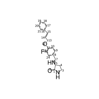 O=C1NCCC1NCc1ccc(OCC=Cc2ccccc2)c(F)c1